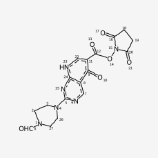 O=CN1CCN(c2ncc3c(=O)c(C(=O)ON4C(=O)CCC4=O)c[nH]c3n2)CC1